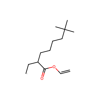 [CH2]CC(CCCCC(C)(C)C)C(=O)OC=C